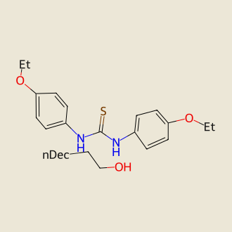 CCCCCCCCCCCCO.CCOc1ccc(NC(=S)Nc2ccc(OCC)cc2)cc1